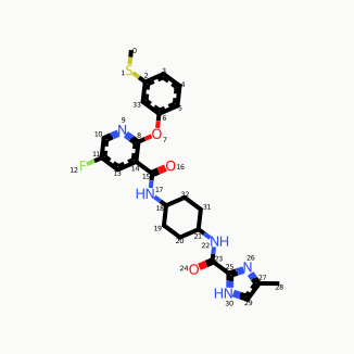 CSc1cccc(Oc2ncc(F)cc2C(=O)NC2CCC(NC(=O)c3nc(C)c[nH]3)CC2)c1